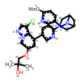 COc1ccc(CN2C3CC2CN(c2ccc(-c4cc(OCC(C)(C)O)cn5ncc(Cl)c45)cn2)C3)cn1